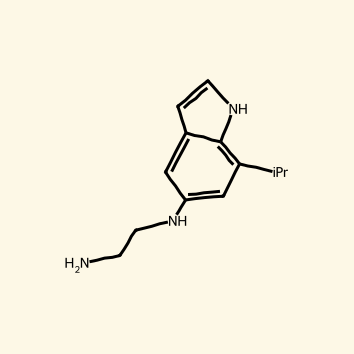 CC(C)c1cc(NCCN)cc2cc[nH]c12